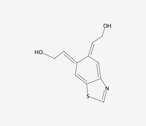 OCC=c1cc2ncsc2cc1=CCO